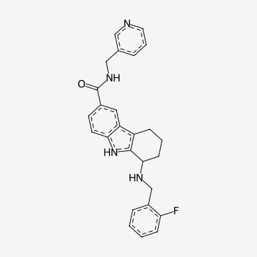 O=C(NCc1cccnc1)c1ccc2[nH]c3c(c2c1)CCCC3NCc1ccccc1F